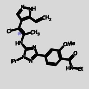 C=Cc1[nH]ncc1/C(Cl)=C(\C)Nc1nc(-c2ccc(C(=O)NCC)c(OC)c2)nn1C(C)C